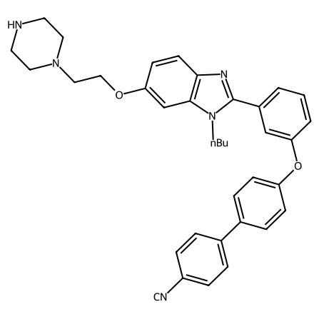 [C-]#[N+]c1ccc(-c2ccc(Oc3cccc(-c4nc5ccc(OCCN6CCNCC6)cc5n4CCCC)c3)cc2)cc1